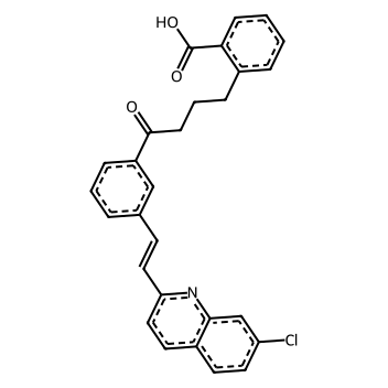 O=C(CCCc1ccccc1C(=O)O)c1cccc(C=Cc2ccc3ccc(Cl)cc3n2)c1